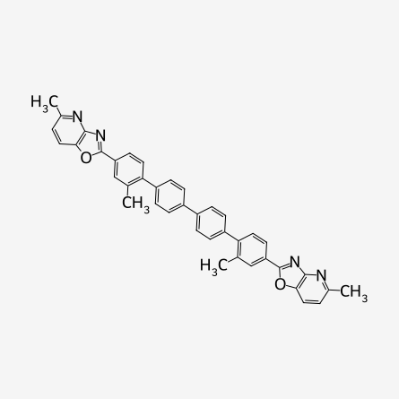 Cc1ccc2oc(-c3ccc(-c4ccc(-c5ccc(-c6ccc(-c7nc8nc(C)ccc8o7)cc6C)cc5)cc4)c(C)c3)nc2n1